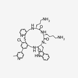 Cc1cc(-c2cc(Cl)c3c(c2)CNC(=O)[C@H](Cc2c[nH]c4ccccc24)N(C)C(=O)[C@H](CCCCN)NC(=O)[C@H](CCCN)NCc2cccnc2S3)ccn1